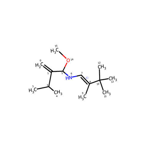 C=C(C(C)C)C(N/C=C(\C)C(C)(C)C)OC